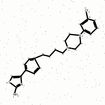 Nc1nc(-c2ccc(CCCCN3CCN(c4cccc(C(F)(F)F)c4)CC3)cc2)cs1